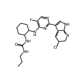 CCCNC(=O)NC1CCCCC1Nc1nc(-c2c[nH]c3c2=CC(Cl)CN=3)ncc1F